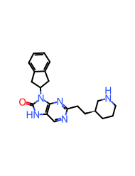 O=c1[nH]c2cnc(CC[C@@H]3CCCNC3)nc2n1C1Cc2ccccc2C1